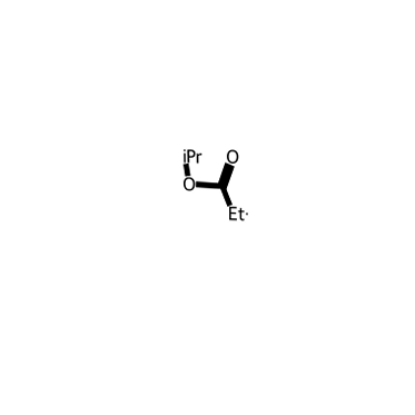 C[CH]C(=O)OC(C)C